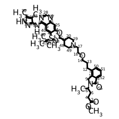 COC(=O)CCC(C)N1Cc2c(CCCOCCN3CCC(COc4cc5ncnc(Nc6n[nH]c(C)c6C)c5cc4[S+]([O-])C(C)(C)C)CC3)cccc2C1=O